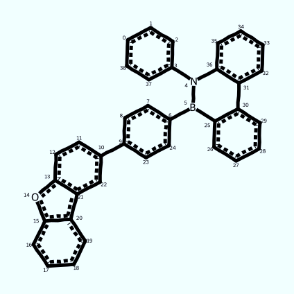 c1ccc(N2B(c3ccc(-c4ccc5oc6ccccc6c5c4)cc3)c3ccccc3-c3ccccc32)cc1